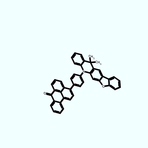 CC1(C)c2ccccc2N(c2ccc(-c3ccc4c5c(cccc35)C(=O)c3ccccc3-4)cc2)c2cc3oc4ccccc4c3cc21